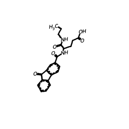 CCCNC(=O)C(CCC(=O)O)NC(=O)c1ccc2c(c1)C(=O)c1ccccc1-2